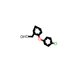 O=CCc1ccccc1Oc1ccc(Cl)cc1